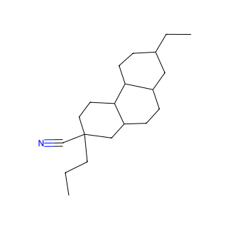 CCCC1(C#N)CCC2C(CCC3CC(CC)CCC32)C1